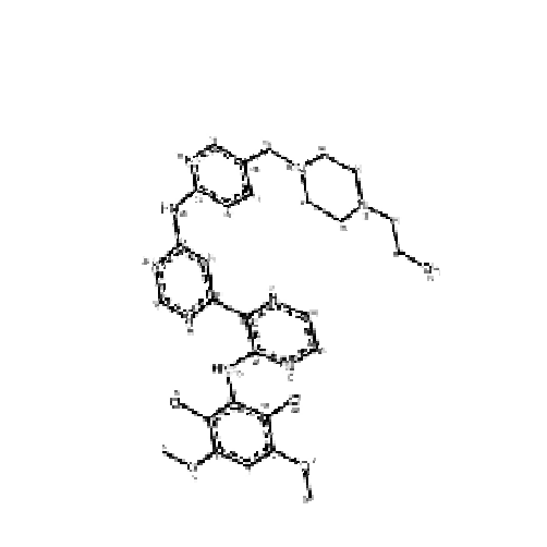 COc1cc(OC)c(Cl)c(Nc2nccnc2-c2cc(Nc3ccc(CN4CCN(CCO)CC4)cn3)ncn2)c1Cl